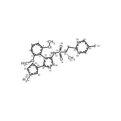 COc1cccc(OC)c1-n1c(NS(=O)(=O)[C@@H](C)Cc2ncc(F)cn2)nnc1-c1ccn(C)c1